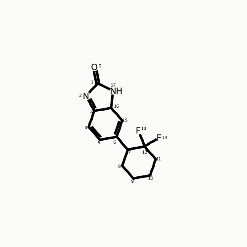 O=C1N=C2C=CC(C3C[CH]CCC3(F)F)=CC2N1